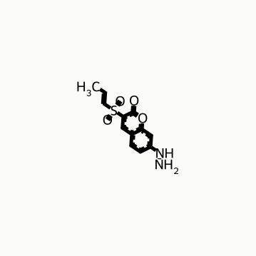 CC=CS(=O)(=O)c1cc2ccc(NN)cc2oc1=O